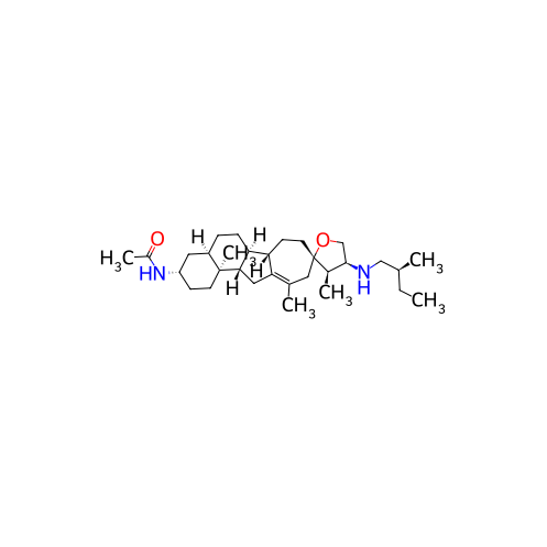 CC[C@H](C)CN[C@@H]1CO[C@]2(CC[C@@H]3C(=C(C)C2)C[C@H]2[C@H]3CC[C@@H]3C[C@@H](NC(C)=O)CC[C@@]32C)[C@@H]1C